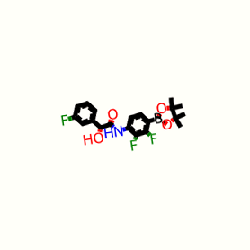 CC1(C)OB(c2ccc(NC(=O)C(O)c3cccc(F)c3)c(F)c2F)OC1(C)C